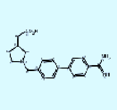 N=C(N)c1ccc(-c2ccc(CN3CCC(CC(=O)O)C3)cc2)cc1